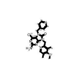 COc1c(C)cnc(Cn2c(=O)n(Cc3ccncc3)c3c(Cl)nc(N)nc32)c1C